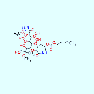 CCCCCOC(=O)OC1CCC(O/C(=C(/O)C(C)(CO)OC)C(OO)C(OO)C(OO)C(OOC)C(N)=O)C(=O)NC1